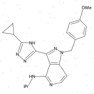 COc1ccc(Cn2nc(-c3nnc(C4CC4)[nH]3)c3c(NC(C)C)nccc32)cc1